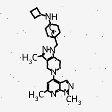 Cc1cc(N2CCc3c(c(C)nn3CC34CCC(NC5CCC5)(CC3)CC4)C2)c2cnn(C)c2n1